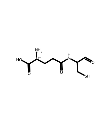 N[C@@H](CCC(=O)NC([C]=O)CS)C(=O)O